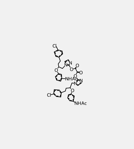 CC(=O)Nc1cccc(OC(CCc2ccc(Cl)cc2)Cn2ccnc2OC(=O)C(=O)Oc2nccn2CC(CCc2ccc(Cl)cc2)Oc2cccc(NC(C)=O)c2)c1